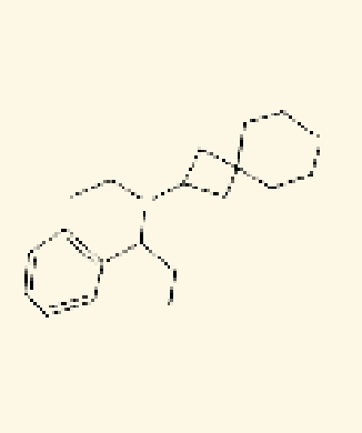 CCN(C1CC2(CCNCC2)C1)C(CI)c1ccccc1